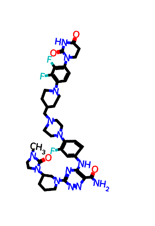 CN1CCN(C2CCCN(c3nnc(C(N)=O)c(Nc4ccc(N5CCN(CC6CCN(c7ccc(N8CCC(=O)NC8=O)c(F)c7F)CC6)CC5)c(F)c4)n3)C2)C1=O